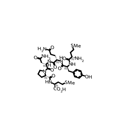 CSCC[C@H](NC(=O)[C@@H]1CCCN1C(=O)[C@H](CC(N)=O)NC(=O)[C@H](CCC(N)=O)NC(=O)[C@H](Cc1ccc(O)cc1)NC(=O)[C@@H](N)CCSC)C(=O)O